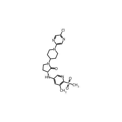 Cc1cc(N[C@H]2CCN(C3CCN(c4cnc(Cl)cn4)CC3)C2=O)cnc1S(C)(=O)=O